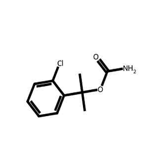 CC(C)(OC(N)=O)c1ccccc1Cl